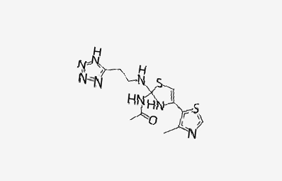 CC(=O)NC1(NCCc2nnn[nH]2)NC(c2scnc2C)=CS1